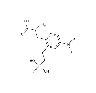 NC(Cc1ccc([N+](=O)[O-])cc1CCP(=O)(O)O)C(=O)O